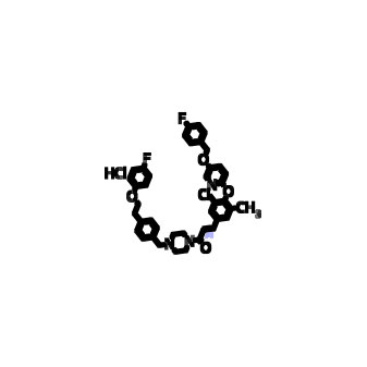 Cc1cc(/C=C/C(=O)N2CCN(Cc3ccc(CCOc4ccc(F)cc4)cc3)CC2)cc(Cl)c1Oc1ccc(OCc2ccc(F)cc2)cn1.Cl